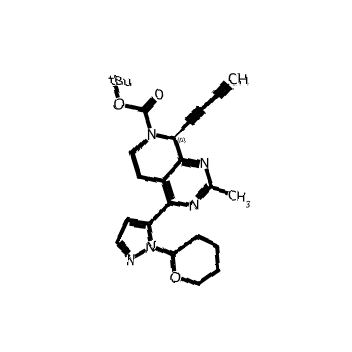 C#CC#C[C@H]1c2nc(C)nc(-c3ccnn3C3CCCCO3)c2CCN1C(=O)OC(C)(C)C